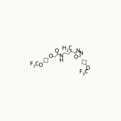 C=C(CCNC(=O)CO[C@H]1C[C@@H](OC(F)(F)F)C1)c1nnc([C@H]2C[C@H](OC(F)(F)F)C2)o1